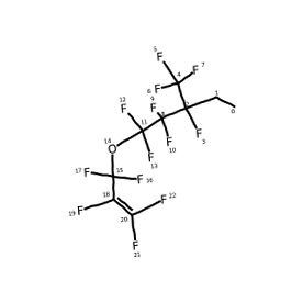 CCC(F)(C(F)(F)F)C(F)(F)C(F)(F)OC(F)(F)C(F)=C(F)F